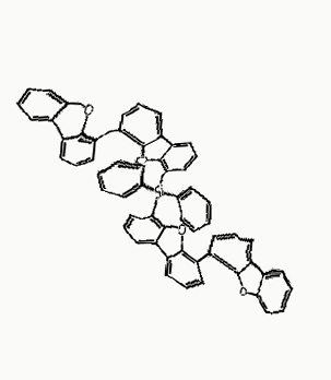 c1ccc([Si](c2ccccc2)(c2cccc3c2oc2c(-c4cccc5c4oc4ccccc45)cccc23)c2cccc3c2oc2c(-c4cccc5c4oc4ccccc45)cccc23)cc1